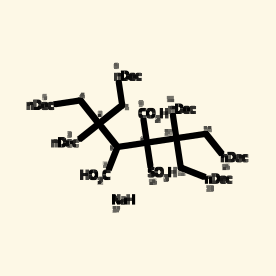 CCCCCCCCCCCC(CCCCCCCCCC)(CCCCCCCCCCC)C(C(=O)O)C(C(=O)O)(C(CCCCCCCCCC)(CCCCCCCCCCC)CCCCCCCCCCC)S(=O)(=O)O.[NaH]